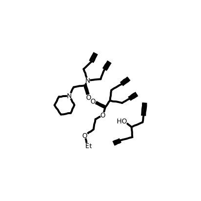 C#CCC(CC#C)C(=O)OCCOCC.C#CCC(O)CC#C.C#CCN(CC#C)C(=O)CN1CCCCC1